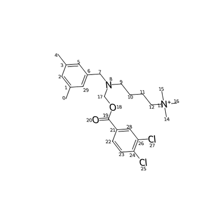 Cc1cc(C)cc(CN(CCCC[N+](C)(C)C)COC(=O)c2ccc(Cl)c(Cl)c2)c1